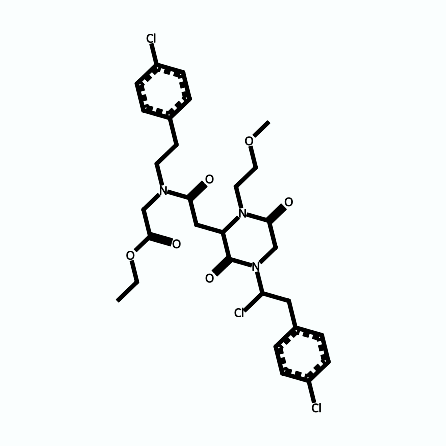 CCOC(=O)CN(CCc1ccc(Cl)cc1)C(=O)CC1C(=O)N(C(Cl)Cc2ccc(Cl)cc2)CC(=O)N1CCOC